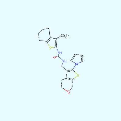 CCOC(=O)c1c(NC(=O)NCc2c(-n3cccc3)sc3c2CCOC3)sc2c1CCCC2